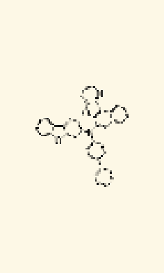 c1ccc(-c2ccc(N(c3ccc4c(c3)oc3ccccc34)c3cc4ccccc4c4c3oc3cccnc34)cc2)cc1